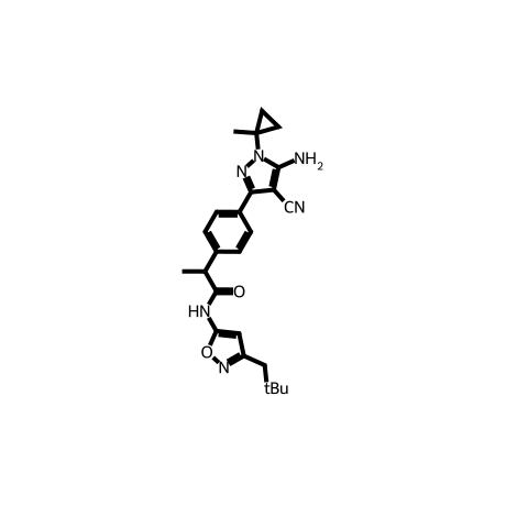 CC(C(=O)Nc1cc(CC(C)(C)C)no1)c1ccc(-c2nn(C3(C)CC3)c(N)c2C#N)cc1